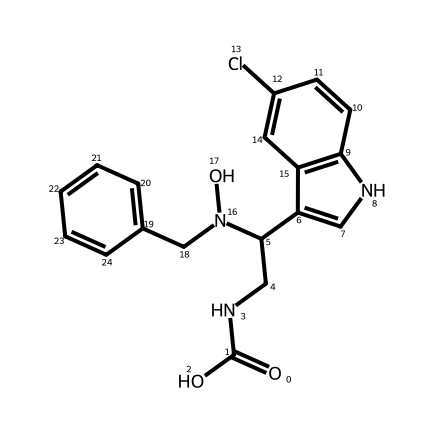 O=C(O)NCC(c1c[nH]c2ccc(Cl)cc12)N(O)Cc1ccccc1